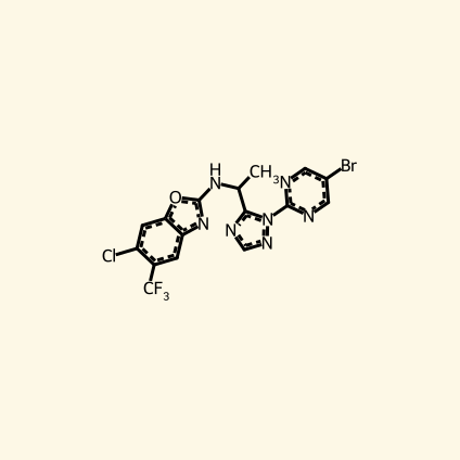 CC(Nc1nc2cc(C(F)(F)F)c(Cl)cc2o1)c1ncnn1-c1ncc(Br)cn1